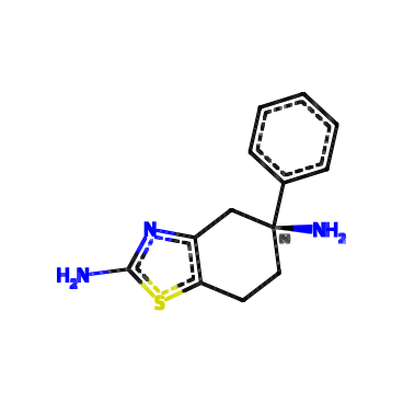 Nc1nc2c(s1)CC[C@@](N)(c1ccccc1)C2